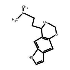 CN(C)CCC1NCOc2cc3cc[nH]c3cc21